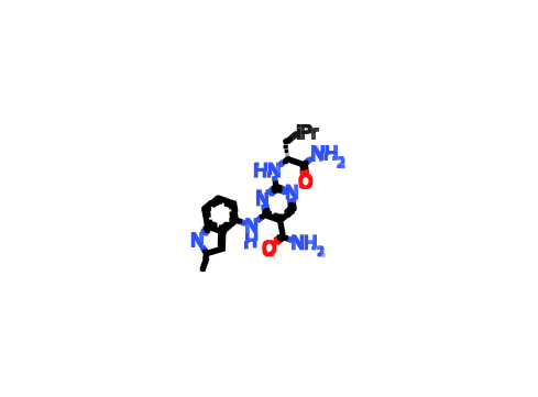 CC(C)C[C@@H](Nc1ncc(C(N)=O)c(Nc2cccc3c2=CC(C)N=3)n1)C(N)=O